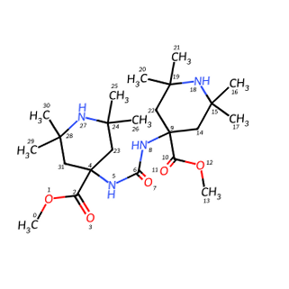 COC(=O)C1(NC(=O)NC2(C(=O)OC)CC(C)(C)NC(C)(C)C2)CC(C)(C)NC(C)(C)C1